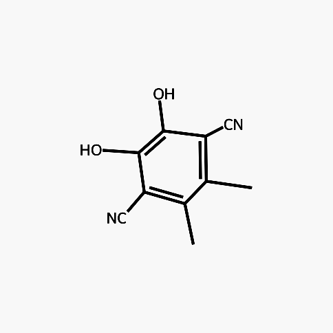 Cc1c(C)c(C#N)c(O)c(O)c1C#N